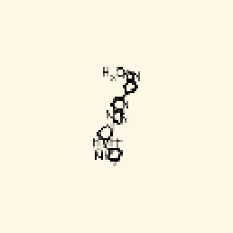 Cn1cnc2ccc(-c3ccc4nc(N5CC[C@@H]6[C@H](C5)[C@@]6(CN)c5ccccc5F)cnc4n3)cc21